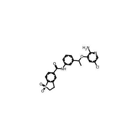 CC(Oc1cc(Cl)cnc1N)c1cccc(NC(=O)c2ccc3c(c2)CCS3(=O)=O)c1